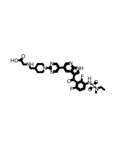 CCN(C)S(=O)(=O)Nc1ccc(F)c(C(=O)c2c[nH]c3ncc(-c4cnc(N5CCC(CNCC(=O)O)CC5)nc4)cc23)c1F